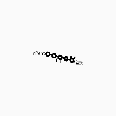 CC/C=C\Oc1ccc(-c2ccc(-c3ccc(C4CCC(C5CCC(CCCCC)CC5)CC4)c(F)c3F)cc2)c(F)c1F